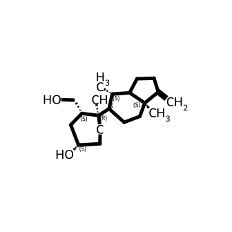 C=C1CCC2[C@@H](C)C([C@@]3(C)CC[C@H](O)C[C@@H]3CO)CC[C@]12C